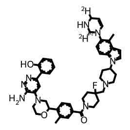 [2H]C1C=CN(c2ccc3c(ccn3C3CCN(CC4(F)CCN(C(=O)c5ccc(C6CN(c7cc(-c8ccccc8O)nnc7N)CCO6)c(C)c5)CC4)CC3)c2C)[C@H]([2H])N1